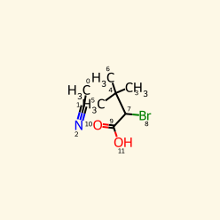 CC#N.CC(C)(C)C(Br)C(=O)O